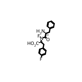 N[C@@H](Cc1ccccc1)C(=O)N(F)[C@@H](Cc1ccc(F)cc1)C(=O)O